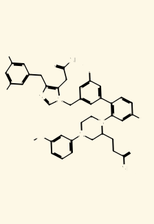 COc1cccc(N2CCN(c3cc(O)ccc3-c3cc(O)cc(Cn4cnc(Cc5cc(F)cc(F)c5)c4CC(N)=O)c3)C(CCC(N)=O)C2)c1